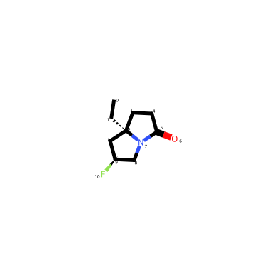 CC[C@]12CCC(=O)N1C[C@@H](F)C2